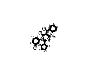 Cn1c2ccccc2c(=O)c2c(=O)n(-c3cccc(Cl)c3)c(C3CCCC3)nc21